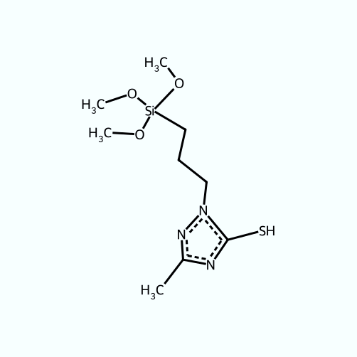 CO[Si](CCCn1nc(C)nc1S)(OC)OC